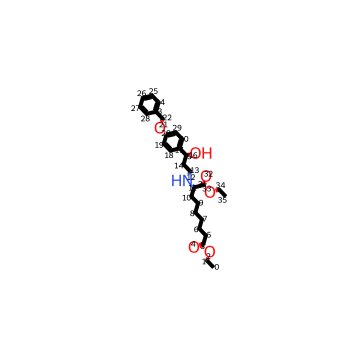 CCOC(=O)CCCCCCC(NCCC(O)c1ccc(OCc2ccccc2)cc1)C(=O)OCC